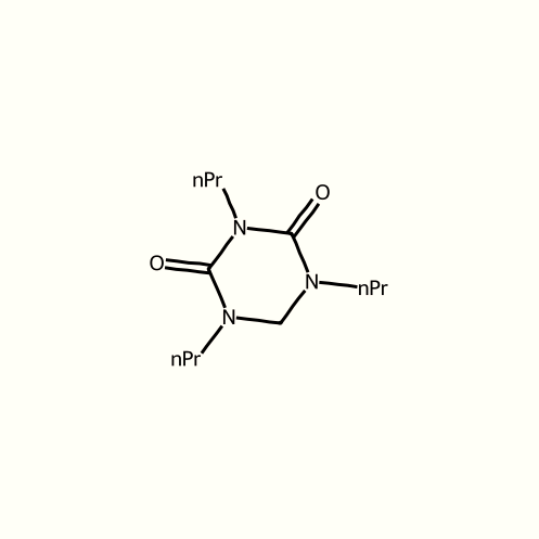 CCCN1CN(CCC)C(=O)N(CCC)C1=O